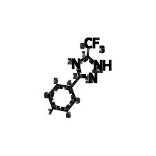 FC(F)(F)c1nc(-c2c[c]ccc2)n[nH]1